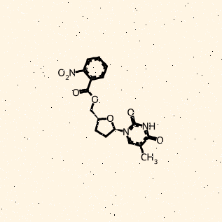 Cc1cn([C@H]2CC[C@@H](COC(=O)c3ccccc3[N+](=O)[O-])O2)c(=O)[nH]c1=O